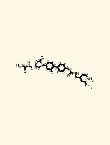 C=C/C=C(\C=C/N)CNC(=O)Nc1ccc(-c2ccc(N3C[C@H](CNC(C)=O)OC3=O)cc2F)cc1